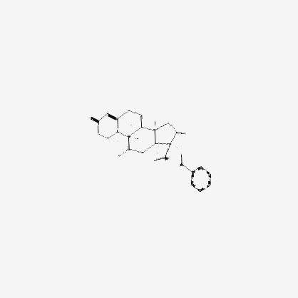 CC(=O)[C@@]1(OC(=O)c2ccccc2)C(C)C[C@H]2[C@@H]3CCC4=CC(=O)CC[C@]4(C)[C@@]3(Cl)C(Cl)C[C@@]21C